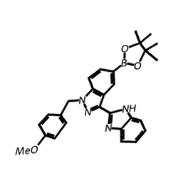 COc1ccc(Cn2nc(-c3nc4ccccc4[nH]3)c3cc(B4OC(C)(C)C(C)(C)O4)ccc32)cc1